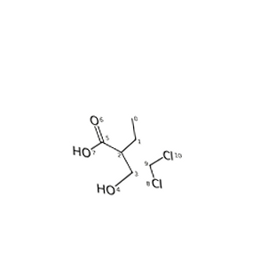 CCC(CO)C(=O)O.ClCCl